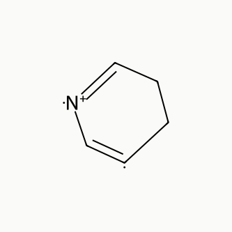 [C]1=C[N+]=CCC1